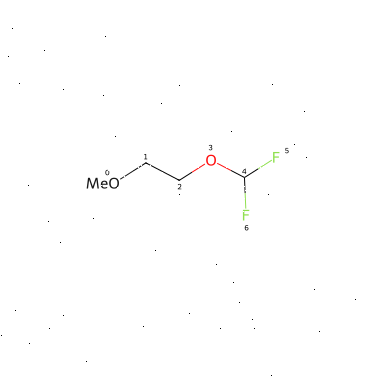 [CH2]OCCOC(F)F